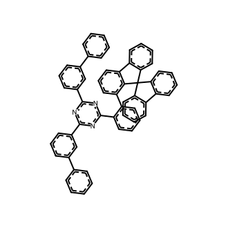 c1ccc(-c2cccc(-c3nc(-c4cccc(-c5ccccc5)c4)nc(-c4ccccc4-c4cccc5c4C4(c6ccccc6-c6ccccc64)c4ccccc4-5)n3)c2)cc1